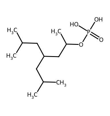 CC(C)CC(CC(C)C)CC(C)OP(=O)(O)O